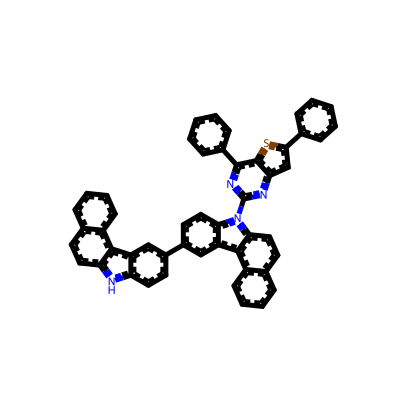 c1ccc(-c2cc3nc(-n4c5ccc(-c6ccc7[nH]c8ccc9ccccc9c8c7c6)cc5c5c6ccccc6ccc54)nc(-c4ccccc4)c3s2)cc1